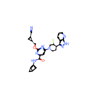 N#C[C@@H]1C[C@@H]1COc1nc(C(=O)NC2=C3CC3C2)cc(N2CCC(c3n[nH]c4ncccc34)C(F)C2)n1